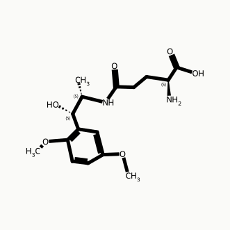 COc1ccc(OC)c([C@H](O)[C@H](C)NC(=O)CC[C@H](N)C(=O)O)c1